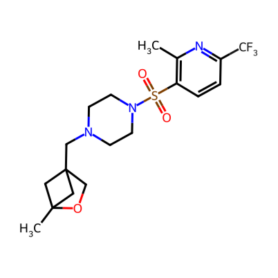 Cc1nc(C(F)(F)F)ccc1S(=O)(=O)N1CCN(CC23COC(C)(C2)C3)CC1